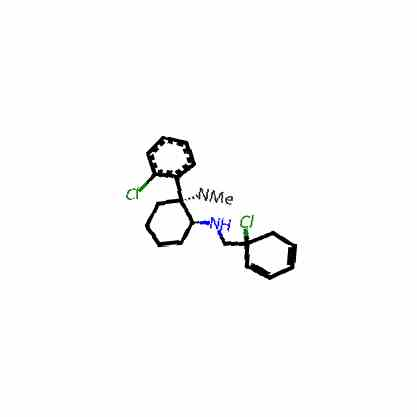 CN[C@@]1(c2ccccc2Cl)CCCC[C@@H]1NCC1(Cl)C=CC=CC1